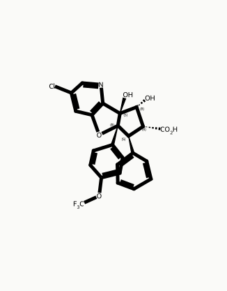 O=C(O)[C@H]1[C@@H](O)[C@@]2(O)c3ncc(Cl)cc3O[C@@]2(c2ccc(OC(F)(F)F)cc2)[C@@H]1c1ccccc1